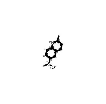 Cc1ccc2cc([S+](C)[O-])ccc2n1